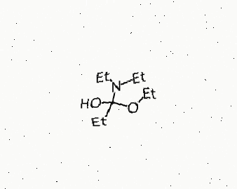 CCOC(O)(CC)N(CC)CC